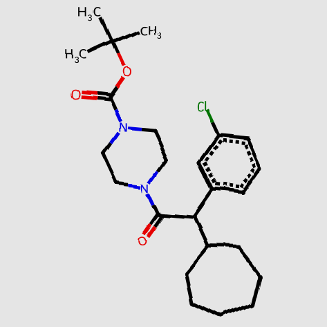 CC(C)(C)OC(=O)N1CCN(C(=O)C(c2cccc(Cl)c2)C2CCCCCC2)CC1